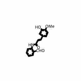 COc1ccc(/C=C/C(=O)Nc2ccccc2C=O)cc1O